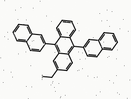 ICc1ccc2c(-c3ccc4ccccc4c3)c3ccccc3c(-c3ccc4ccccc4c3)c2c1